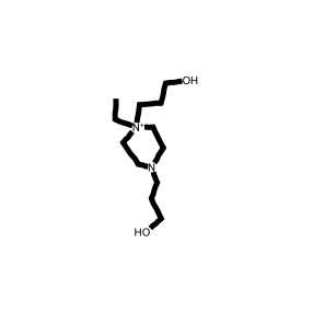 CC[N+]1(CCCO)CCN(CCCO)CC1